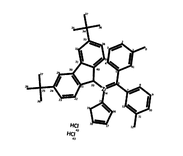 Cc1cccc([C](c2cccc(C)c2)=[Zr]([C]2=CC=CC2)[CH]2c3ccc(C(C)(C)C)cc3-c3cc(C(C)(C)C)ccc32)c1.Cl.Cl